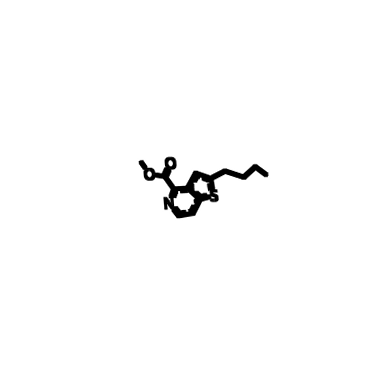 CCCCc1cc2c(C(=O)OC)nccc2s1